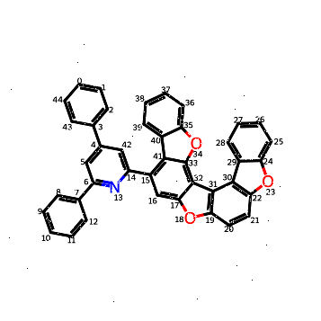 c1ccc(-c2cc(-c3ccccc3)nc(-c3cc4oc5ccc6oc7ccccc7c6c5c4c4oc5ccccc5c34)c2)cc1